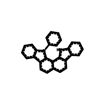 c1ccc(-n2c3ccccc3c3ccc4ccc5c6ccccc6[nH]c5c4c32)cc1